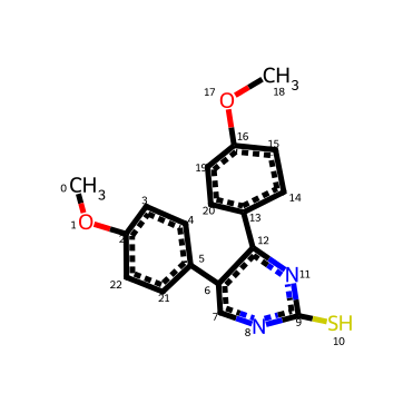 COc1ccc(-c2cnc(S)nc2-c2ccc(OC)cc2)cc1